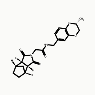 C[C@@H]1COc2cc(CNC(=O)CN3C(=O)[C@@H]4[C@@H]5CC[C@@H](C5)[C@@H]4C3=O)ccc2N1